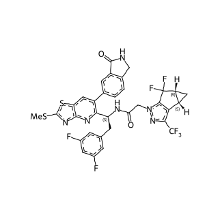 CSc1nc2nc([C@H](Cc3cc(F)cc(F)c3)NC(=O)Cn3nc(C(F)(F)F)c4c3C(F)(F)[C@@H]3C[C@H]43)c(-c3ccc4c(c3)C(=O)NC4)cc2s1